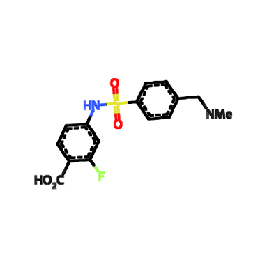 CNCc1ccc(S(=O)(=O)Nc2ccc(C(=O)O)c(F)c2)cc1